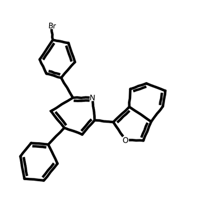 Brc1ccc(-c2cc(-c3ccccc3)cc(-c3occ4ccccc34)n2)cc1